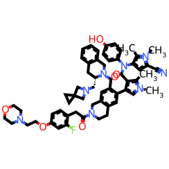 Cc1c(C(=O)N(c2ccc(O)cc2)c2cc(C#N)n(C)c2C)c(-c2cc3c(cc2C(=O)N2Cc4ccccc4C[C@H]2CN2CC4(CC4)C2)CN(C(=O)Cc2ccc(OCCN4CCOCC4)cc2F)CC3)cn1C